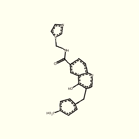 O=C(O)c1ccc(Cc2cnc3ccc(C(=O)NCn4ccnc4)cc3c2O)cc1